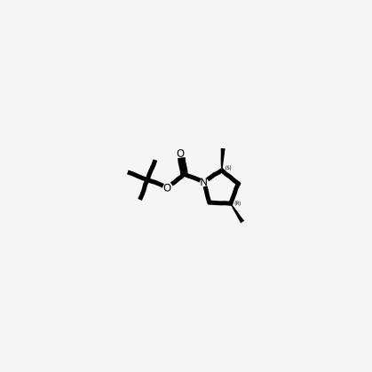 C[C@@H]1C[C@H](C)N(C(=O)OC(C)(C)C)C1